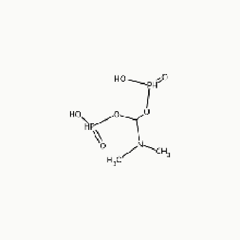 CN(C)C(O[PH](=O)O)O[PH](=O)O